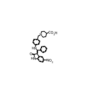 O=C1Nc2ccc([N+](=O)[O-])cc2C1=C(Nc1ccc(CN2CCC(C(=O)O)CC2)cc1)c1ccccc1